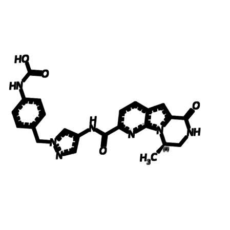 C[C@@H]1CNC(=O)c2cc3ccc(C(=O)Nc4cnn(Cc5ccc(NC(=O)O)cc5)c4)nc3n21